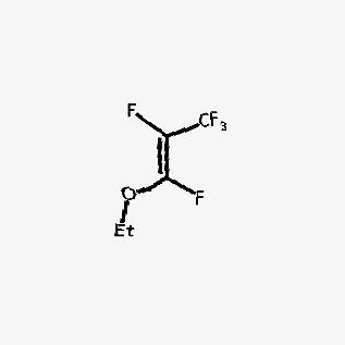 CCOC(F)=C(F)C(F)(F)F